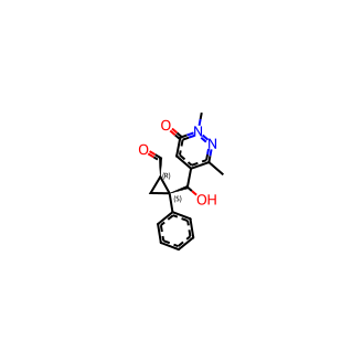 Cc1nn(C)c(=O)cc1C(O)[C@@]1(c2ccccc2)C[C@H]1C=O